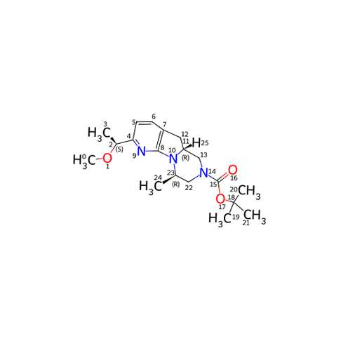 CO[C@@H](C)c1ccc2c(n1)N1[C@H](C2)CN(C(=O)OC(C)(C)C)C[C@H]1C